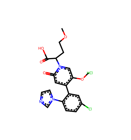 COCCC(C(=O)O)n1cc(OC)c(-c2cc(Cl)ccc2-n2ccnc2)cc1=O.Cl